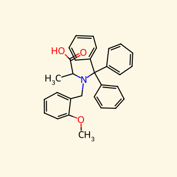 COc1ccccc1CN(C(C)C(=O)O)C(c1ccccc1)(c1ccccc1)c1ccccc1